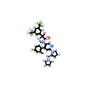 Cc1cc(F)ccc1-c1cc(N2CCC[C@H]2CN2CCCC2)ncc1N(C)C(=O)C(C)(C)c1cc(C(F)(F)F)cc(C(F)(F)F)c1